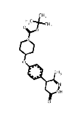 CC1=NNC(=O)CC1c1ccc(OC2CCN(C(=O)OC(C)(C)C)CC2)cc1